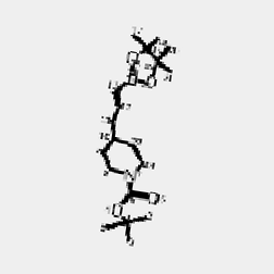 CC(C)(C)OC(=O)N1CCC(CC=CB2OC(C)(C)C(C)(C)O2)CC1